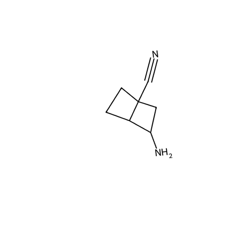 N#CC12CCC1C(N)C2